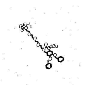 CC(C)(C)OC(=O)N(CCOCCOCCOCCOS(C)(=O)=O)Cc1ccc(OCc2ccccc2)c(OCc2ccccc2)c1